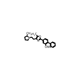 COc1cc(-c2nc(CCN3CCC[C@H]3C)c(C)o2)ccc1-c1ccccc1